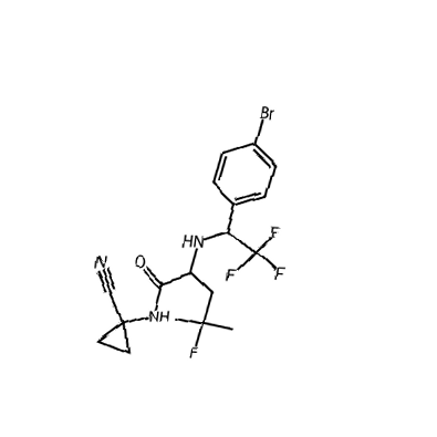 CC(C)(F)CC(NC(c1ccc(Br)cc1)C(F)(F)F)C(=O)NC1(C#N)CC1